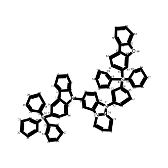 C1=CN2c3cc(-n4c5ccccc5c5cc([Si](c6ccccc6)(c6ccccc6)c6ccccc6)ccc54)ccc3N(c3cccc([Si](c4ccccc4)(c4ccccc4)c4ccc5c(c4)oc4ccccc45)c3)N2C=C1